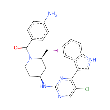 Nc1ccc(C(=O)N2CC[C@H](Nc3ncc(Cl)c(-c4c[nH]c5ccccc45)n3)C[C@@H]2CI)cc1